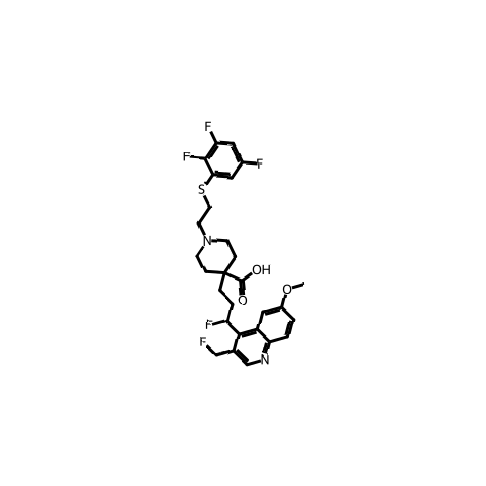 COc1ccc2ncc(CF)c(C(F)CCC3(C(=O)O)CCN(CCSc4cc(F)cc(F)c4F)CC3)c2c1